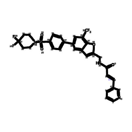 O=C(/C=C/c1cccnc1)NCc1cc2cc(-c3ccc(S(=O)(=O)N4CCC(F)(F)CC4)cc3)cc(C(F)(F)F)c2o1